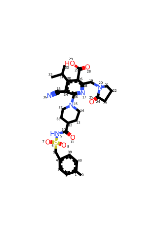 Cc1ccc(CS(=O)(=O)NC(=O)C2CCN(c3nc(CN4CCCC4=O)c(C(=O)O)c(C(C)C)c3C#N)CC2)cc1